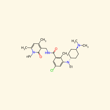 CCCn1c(C)cc(C)c(CNC(=O)c2cc(Cl)cc(N(CC)[C@H]3CC[C@H](N(C)C)CC3)c2C)c1=O